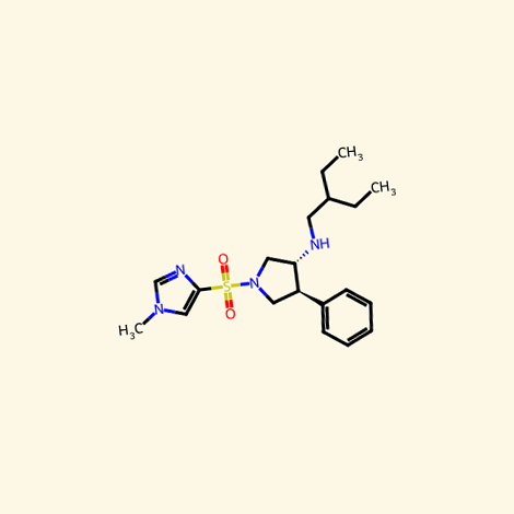 CCC(CC)CN[C@H]1CN(S(=O)(=O)c2cn(C)cn2)C[C@@H]1c1ccccc1